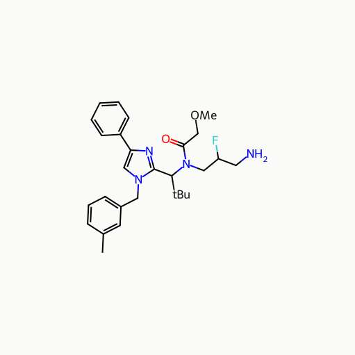 COCC(=O)N(CC(F)CN)C(c1nc(-c2ccccc2)cn1Cc1cccc(C)c1)C(C)(C)C